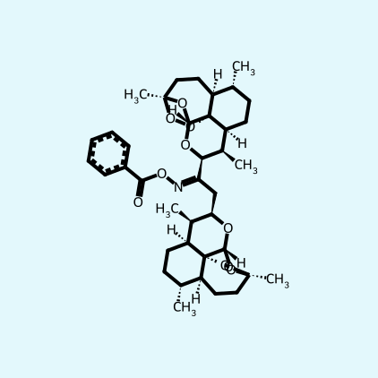 C[C@H]1[C@@H](/C(C[C@H]2O[C@@H]3O[C@]4(C)CC[C@H]5[C@H](C)CC[C@@H]([C@H]2C)[C@@]35OO4)=N\OC(=O)c2ccccc2)O[C@@H]2O[C@]3(C)CC[C@H]4[C@H](C)CC[C@@H]1[C@@]24OO3